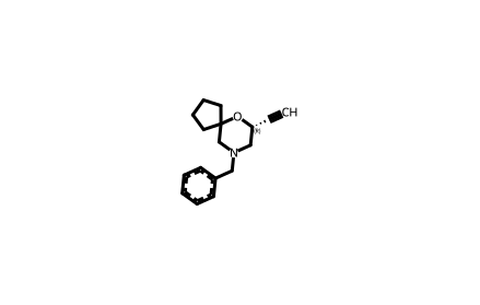 C#C[C@@H]1CN(Cc2ccccc2)CC2(CCCC2)O1